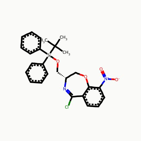 CC(C)(C)[Si](OC[C@@H]1COc2c(cccc2[N+](=O)[O-])C(Cl)=N1)(c1ccccc1)c1ccccc1